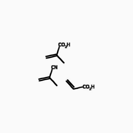 C=C(C)C#N.C=C(C)C(=O)O.C=CC(=O)O